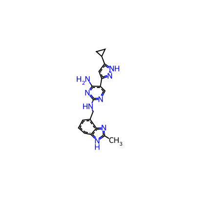 Cc1nc2c(CNc3ncc(-c4cc(C5CC5)[nH]n4)c(N)n3)cccc2[nH]1